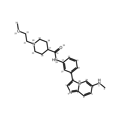 CNc1ccc2ncc(-c3cccc(NC(=O)C4CCN(CCOC)CC4)c3)n2c1